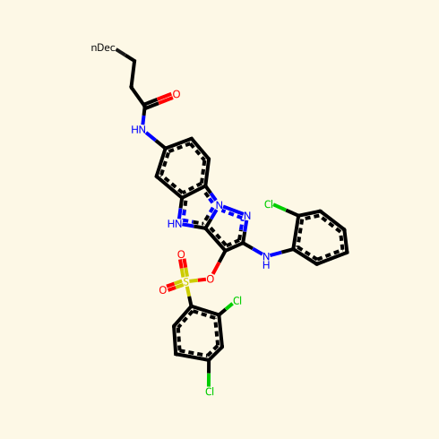 CCCCCCCCCCCCC(=O)Nc1ccc2c(c1)[nH]c1c(OS(=O)(=O)c3ccc(Cl)cc3Cl)c(Nc3ccccc3Cl)nn12